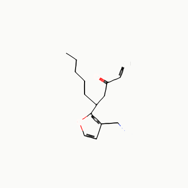 C=CC(=O)CC(CCCCC)c1occc1CN